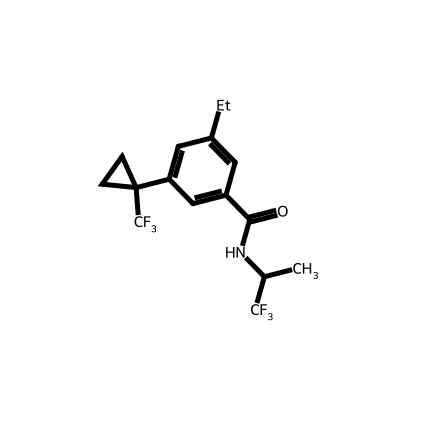 CCc1cc(C(=O)NC(C)C(F)(F)F)cc(C2(C(F)(F)F)CC2)c1